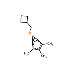 Cc1c2cc-2c(C)c1C.PCC1CCC1